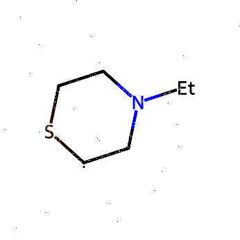 CCN1C[CH]SCC1